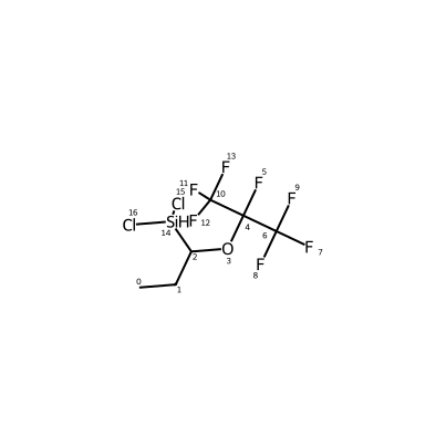 CCC(OC(F)(C(F)(F)F)C(F)(F)F)[SiH](Cl)Cl